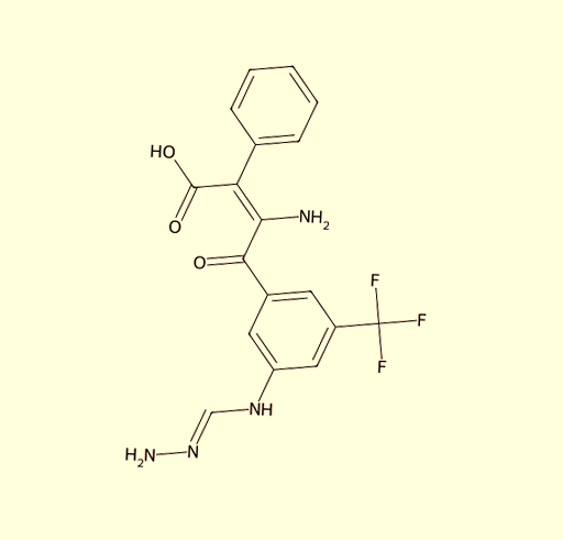 NN=CNc1cc(C(=O)C(N)=C(C(=O)O)c2ccccc2)cc(C(F)(F)F)c1